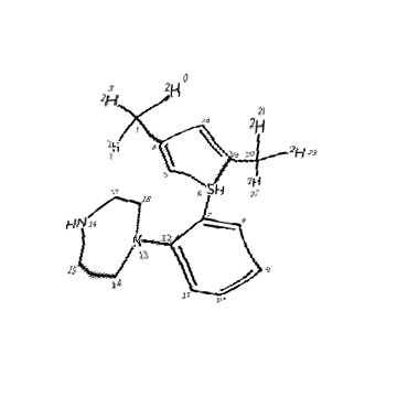 [2H]C([2H])([2H])C1=C[SH](c2ccccc2N2CCNCC2)C(C([2H])([2H])[2H])=C1